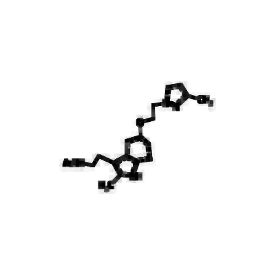 CC(=O)NCCc1c(C)[nH]c2ccc(OCCn3ccc(C)n3)cc12